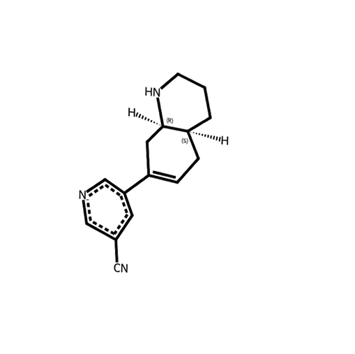 N#Cc1cncc(C2=CC[C@@H]3CCCN[C@@H]3C2)c1